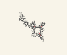 C[C@H]1C(=O)N[C@@H](CO)C(=O)N(C)[C@@]2(Cc3ccc(Cl)cc3)CCCN(C2)C(=O)[C@H](Cc2ccccn2)CC(=O)N1Cc1c(F)cc(Cl)cc1Oc1ccc(-c2cnc(CN(C)C)n2C)cc1